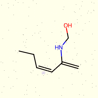 C=C(/C=C\CC)NCO